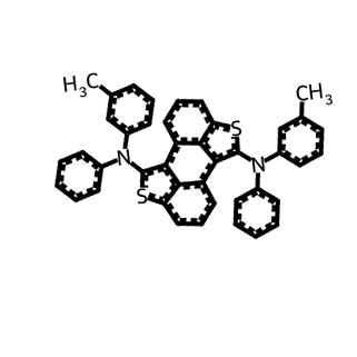 Cc1cccc(N(c2ccccc2)c2sc3cccc4c5c(N(c6ccccc6)c6cccc(C)c6)sc6cccc(c2c34)c65)c1